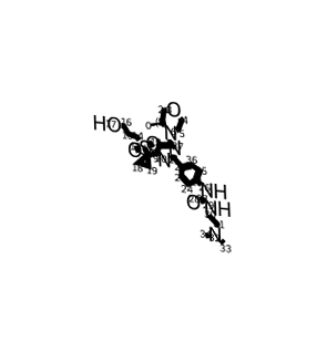 C[C@H]1COCCN1c1cc(C2(S(=O)(=O)CCCO)CC2)nc(-c2ccc(NC(=O)NCCN(C)C)cc2)n1